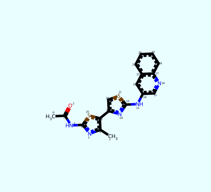 CC(=O)Nc1nc(C)c(-c2csc(Nc3cnc4ccccc4c3)n2)s1